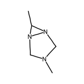 CC1N2CN(C)CN12